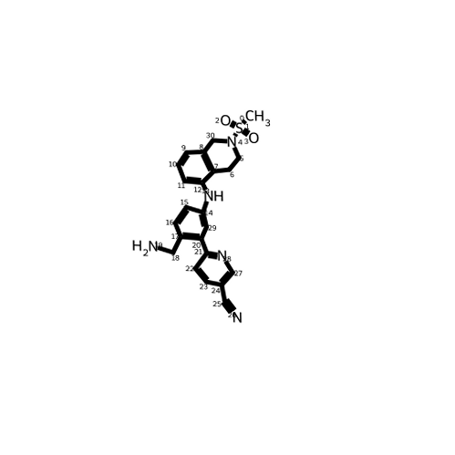 CS(=O)(=O)N1CCc2c(cccc2Nc2ccc(CN)c(-c3ccc(C#N)cn3)c2)C1